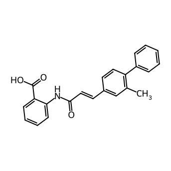 Cc1cc(C=CC(=O)Nc2ccccc2C(=O)O)ccc1-c1ccccc1